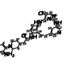 Cc1cccc(N2CCC(CC(=O)Nc3ccc4cc3CCc3cncc(c3)Nc3ncc(Cl)c(n3)N4)CC2)c1N